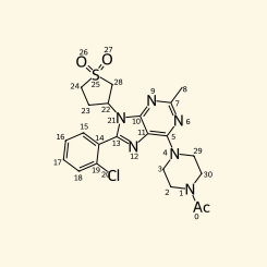 CC(=O)N1CCN(c2nc(C)nc3c2nc(-c2ccccc2Cl)n3C2CCS(=O)(=O)C2)CC1